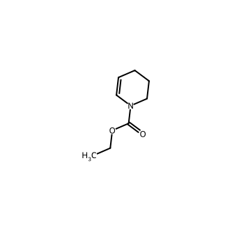 CCOC(=O)N1C=CCCC1